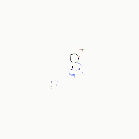 CC1(F)CN(CCc2nc3c4ccc5c(c4nc(N)n3n2)OC(F)(F)O5)C1